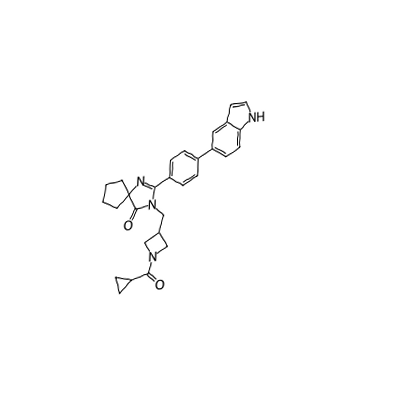 O=C(C1CC1)N1CC(CN2C(=O)C3(CCCC3)N=C2c2ccc(-c3ccc4[nH]ccc4c3)cc2)C1